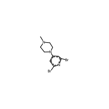 CN1CCN(c2cc(Br)nc(Br)c2)CC1